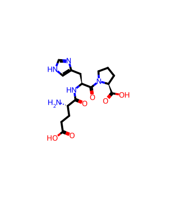 N[C@@H](CCC(=O)O)C(=O)N[C@@H](Cc1c[nH]cn1)C(=O)N1CCC[C@H]1C(=O)O